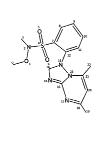 CON(C)S(=O)(=O)c1ccccc1N1CN=C2N=C(C)C=C(C)N21